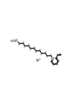 C=Cc1cccc[n+]1CCCCCCCCCCCCCCCCCCCCCC.[Br-]